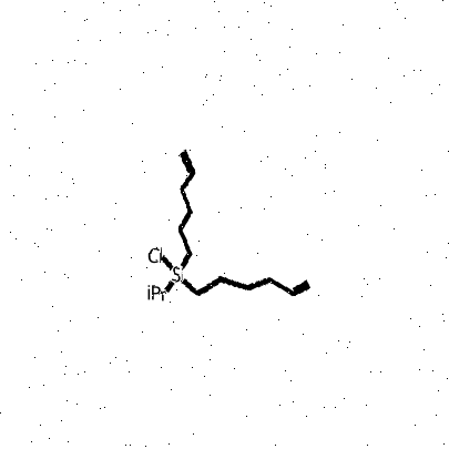 C=CCCCC[Si](Cl)(CCCCC=C)C(C)C